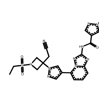 CCS(=O)(=O)N1CC(CC#N)(n2cc(-c3cccc4nc(NC(=O)c5cnn(C)c5)nn34)cn2)C1